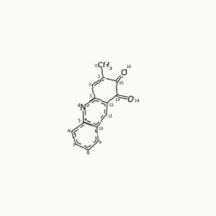 CC1=Cc2nc3ccccc3cc2C(=O)C1=O